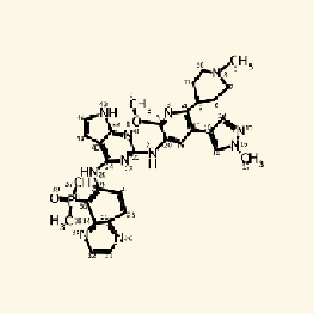 COc1nc(C2CCN(C)CC2)c(-c2cnn(C)c2)cc1Nc1nc(Nc2ccc3nccnc3c2P(C)(C)=O)c2cc[nH]c2n1